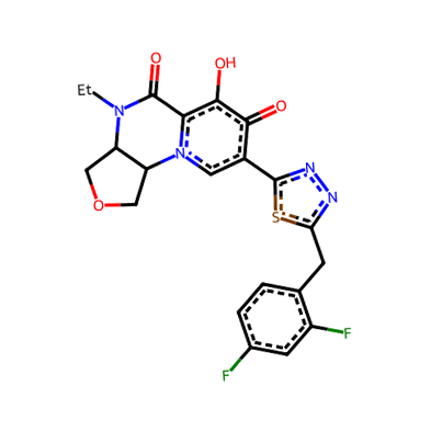 CCN1C(=O)c2c(O)c(=O)c(-c3nnc(Cc4ccc(F)cc4F)s3)cn2C2COCC21